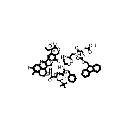 CC[C@@]1(O)C(=O)OCc2c1cc1n(c2=O)Cc2c-1nc1cc(F)c(C)c3c1c2[C@@H](NC(=O)[C@H](COC(C)(C)C)NC(=O)[C@H](Cc1ccccc1)NC(=O)CNC(=O)CNC(=O)[C@H](CC(=O)O)NC(=O)OCC1c2ccccc2-c2ccccc21)CC3